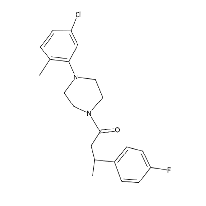 Cc1ccc(Cl)cc1N1CCN(C(=O)CC(C)c2ccc(F)cc2)CC1